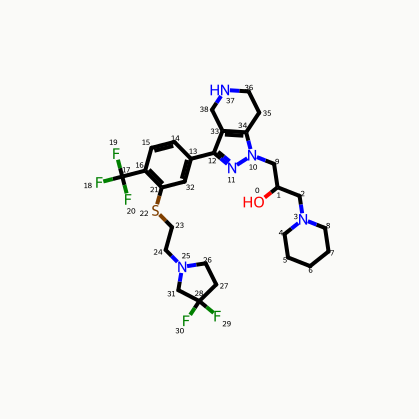 OC(CN1CCCCC1)Cn1nc(-c2ccc(C(F)(F)F)c(SCCN3CCC(F)(F)C3)c2)c2c1CCNC2